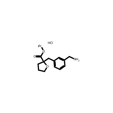 CC(C)OC(=O)C1(Cc2cccc(CN)c2)CCCO1.Cl